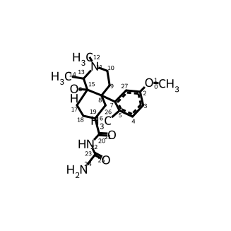 COc1ccc(C)c(C23CCN(C)C(C)C2(O)CCC(C(=O)NC(N)=O)C3)c1